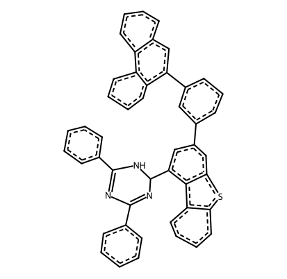 c1ccc(C2=NC(c3cc(-c4cccc(-c5cc6ccccc6c6ccccc56)c4)cc4sc5ccccc5c34)NC(c3ccccc3)=N2)cc1